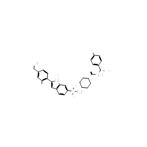 Cc1cc(CO)ccc1-c1cc2ccc(S(=O)(=O)N[C@H]3CC[C@H](C(=O)N[C@H](C)c4ccc(F)cc4)CC3)cc2[nH]1